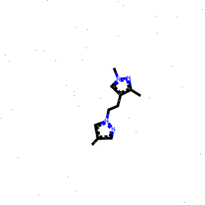 Cc1cnn(CCc2cn(C)nc2C)c1